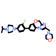 CC(C)N1CCN(c2ccc(-c3ccc4c(c3)OCc3nc(CN5CCOCC5)cn3-4)c(F)c2)CC1